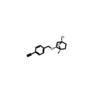 C#Cc1ccc(CO[C@H]2C[C@]3(C(C)C)CC[C@@]2(C)O3)cc1